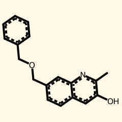 Cc1nc2cc(COCc3ccccc3)ccc2cc1O